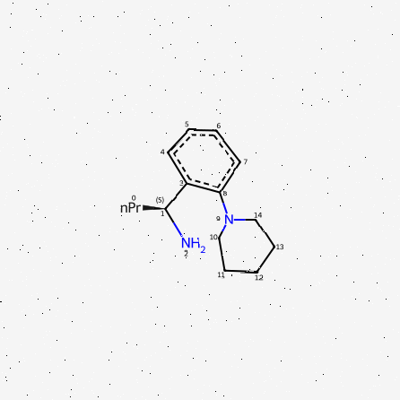 CCC[C@H](N)c1ccccc1N1CCCCC1